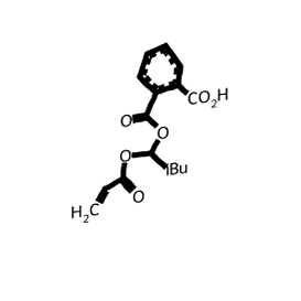 C=CC(=O)OC(OC(=O)c1ccccc1C(=O)O)C(C)CC